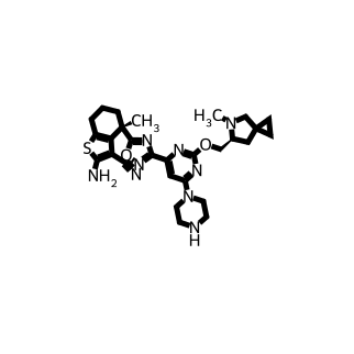 CN1CC2(CC2)C[C@H]1COc1nc(-c2noc([C@@]3(C)CCCc4sc(N)c(C#N)c43)n2)cc(N2CCNCC2)n1